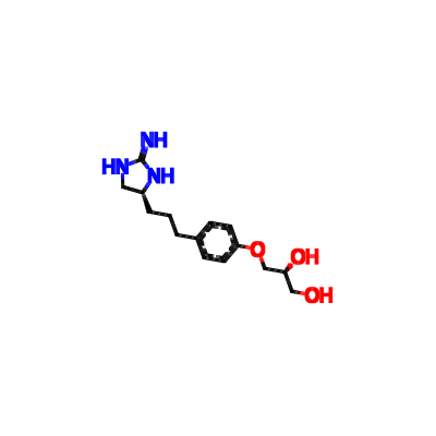 N=C1NC[C@H](CCCc2ccc(OC[C@@H](O)CO)cc2)N1